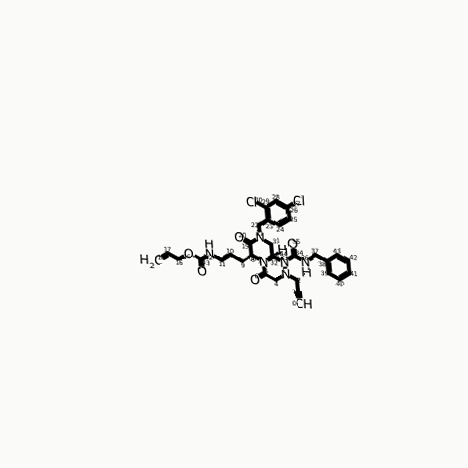 C#CCN1CC(=O)N2[C@@H](CCCNC(=O)OCC=C)C(=O)N(Cc3ccc(Cl)cc3Cl)C[C@@H]2N1C(=O)NCc1ccccc1